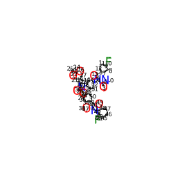 CNC(=O)c1c(-c2ccc(F)cc2)oc2cc(N(CC3(C)COC(C)(C)OC3)S(C)(=O)=O)c(-c3ccc(OC)c(-c4nc5c(F)cccc5o4)c3)cc12